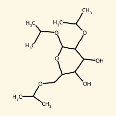 CC(C)OCC1OC(OC(C)C)C(OC(C)C)C(O)C1O